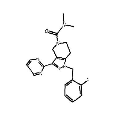 CN(C)C(=O)N1CCc2c(c(-c3ncccn3)nn2Cc2ccccc2F)C1